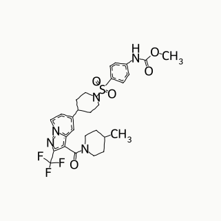 COC(=O)Nc1ccc(S(=O)(=O)N2CCC(c3ccn4nc(C(F)(F)F)c(C(=O)N5CCC(C)CC5)c4c3)CC2)cc1